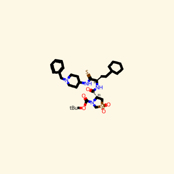 CC(C)(C)OC(=O)N1CS(=O)(=O)C[C@H]1C(=O)N[C@H](CCC1CCCCC1)C(=S)NC1CCN(Cc2ccccc2)CC1